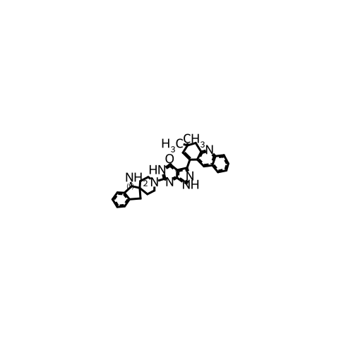 CC1(C)C=C(c2n[nH]c3nc(N4CCC5(CC4)Cc4ccccc4[C@H]5N)[nH]c(=O)c23)c2cc3ccccc3nc2C1